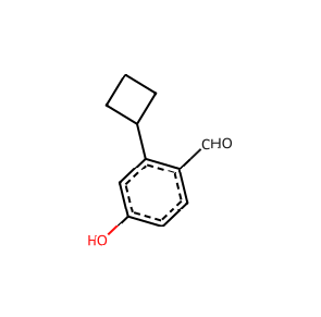 O=Cc1ccc(O)cc1C1CCC1